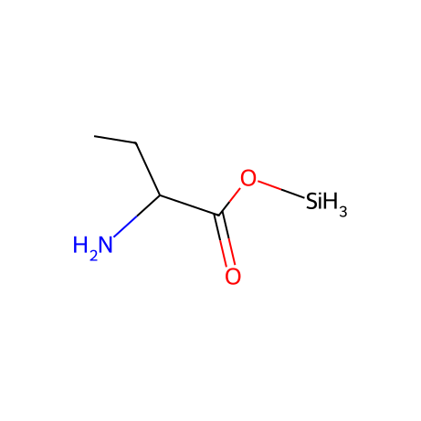 CCC(N)C(=O)O[SiH3]